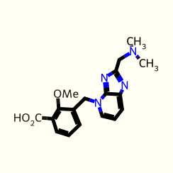 COc1c(Cn2cccc3nc(CN(C)C)nc2-3)cccc1C(=O)O